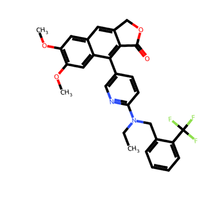 CCN(Cc1ccccc1C(F)(F)F)c1ccc(-c2c3c(cc4cc(OC)c(OC)cc24)COC3=O)cn1